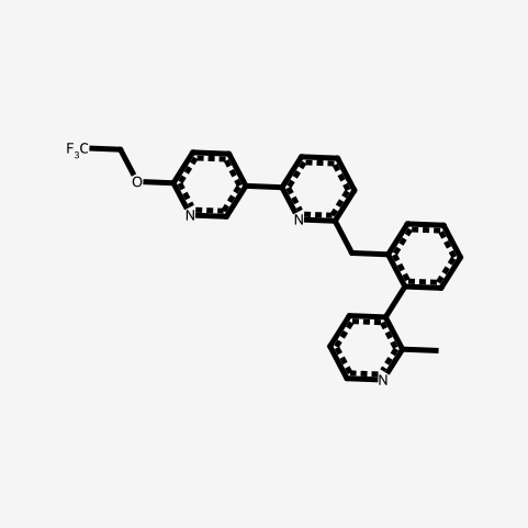 Cc1ncccc1-c1ccccc1Cc1cccc(-c2ccc(OCC(F)(F)F)nc2)n1